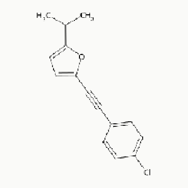 CC(C)c1ccc(C#Cc2ccc(Cl)cc2)o1